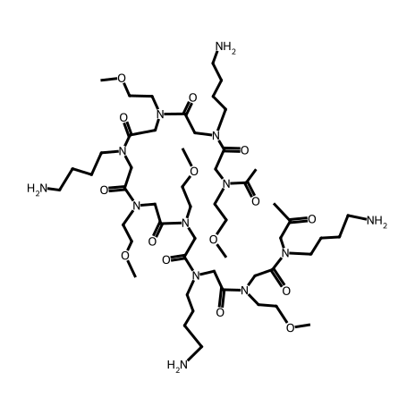 COCCN(CC(=O)N(CCCCN)CC(=O)N(CCOC)CC(=O)N(CCCCN)CC(=O)N(CCOC)CC(=O)N(CCOC)CC(=O)N(CCCCN)CC(=O)N(CCOC)CC(=O)N(CCCCN)CC(C)=O)C(C)=O